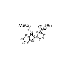 COCCCn1c([C@@H]2CCCN(C(=O)OC(C)(C)C)C2)nc2c1CCCC2